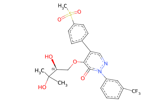 CC(C)(O)[C@@H](O)COc1c(-c2ccc(S(C)(=O)=O)cc2)cnn(-c2cccc(C(F)(F)F)c2)c1=O